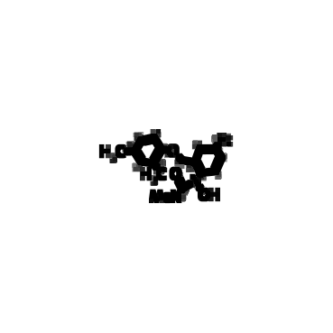 CCc1ccc(N(O)C(=O)NC)c(COc2ccc(C)cc2C)c1